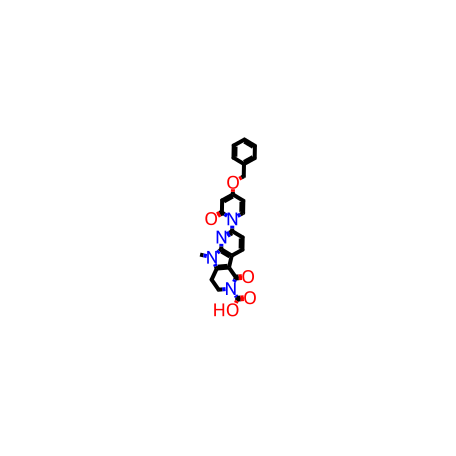 Cn1c2c(c3ccc(-n4ccc(OCc5ccccc5)cc4=O)nc31)C(=O)N(C(=O)O)CC2